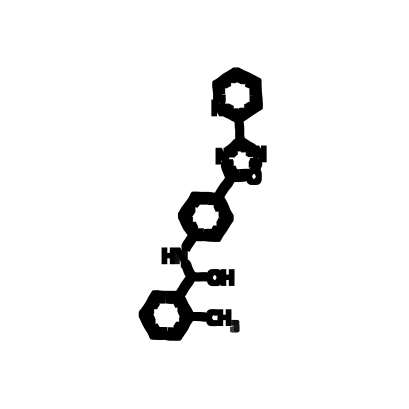 Cc1ccccc1C(O)Nc1ccc(-c2nc(-c3ccccn3)no2)cc1